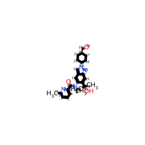 Cc1cccc(C(=O)N(C)c2cc3cn([C@H]4CC[C@H](C=O)CC4)nc3cc2C(C)(C)O)n1